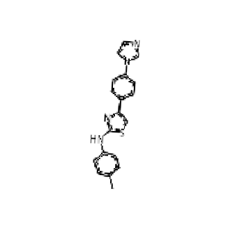 Cc1ccc(Nc2nc(-c3ccc(-n4ccnc4)cc3)cs2)cc1